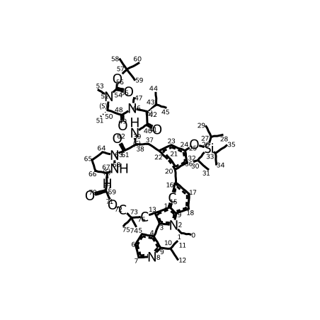 CCn1c(-c2cccnc2C(C)C)c2c3cc(ccc31)-c1cc(cc(O[Si](C(C)C)(C(C)C)C(C)C)c1)C[C@H](NC(=O)[C@H](C(C)C)N(C)C(=O)[C@H](C)N(C)C(=O)OC(C)(C)C)C(=O)N1CCC[C@H](N1)C(=O)OCC(C)(C)C2